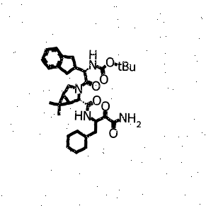 CC(C)(C)OC(=O)N[C@H](C(=O)N1CC2C([C@H]1C(=O)NC(CC1CCCCC1)C(=O)C(N)=O)C2(C)C)C1Cc2ccccc2C1